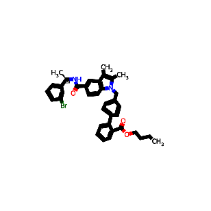 CCCCOC(=O)c1ccccc1-c1ccc(Cn2c(C)c(C)c3cc(C(=O)N[C@@H](C)c4cccc(Br)c4)ccc32)cc1